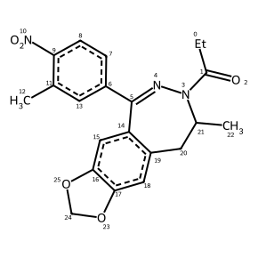 CCC(=O)N1N=C(c2ccc([N+](=O)[O-])c(C)c2)c2cc3c(cc2CC1C)OCO3